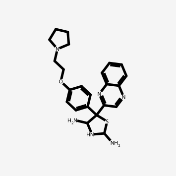 NC1NC(N)C(c2ccc(OCCN3CCCC3)cc2)(c2cnc3ccccc3n2)S1